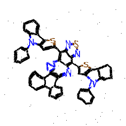 c1ccc(-n2c3ccccc3c3sc(-c4c5nsnc5c(-c5cc6c(s5)c5ccccc5n6-c5ccccc5)c5nc6c7ccccc7c7ccccc7c6nc45)cc32)cc1